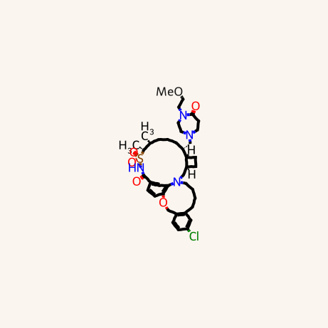 COCCN1CCN(C[C@H]2CCC[C@H](C)[C@@H](C)S(=O)(=O)NC(=O)c3ccc4c(c3)N(CCCCc3cc(Cl)ccc3CO4)C[C@@H]3CC[C@@H]23)CCC1=O